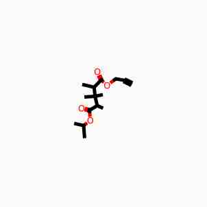 C#CCOC(=O)C(C)C(C)(C)C(C)C(=O)OC(C)C